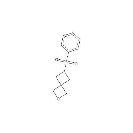 O=S(=O)(c1ccccc1)C1CC2(COC2)C1